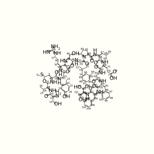 CSCC[C@H](NC(=O)[C@@H](NC(=O)[C@@H](N)CO)C(C)C)C(=O)N[C@@H](Cc1ccc(O)cc1)C(=O)N[C@@H](CCCNC(=N)N)C(=O)N[C@@H](CO)C(=O)N[C@@H](CC(C)C)C(=O)N1CCC[C@H]1C(=O)N[C@@H](CC(C)C)C(=O)N[C@@H](CCC(=O)O)C(=O)N[C@@H](Cc1ccccc1)C(=O)N[C@@H](Cc1ccccc1)C(=O)N[C@@H](Cc1ccccc1)C(=O)N[C@H](C(=O)O)[C@@H](C)O